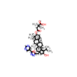 CC(C)C1=C2[C@H]3CC[C@@H]4[C@@]5(C)CC[C@H](OC(=O)CC(C)(C)C(=O)O)C(C)(C)[C@@H]5CC[C@@]4(C)[C@]3(C)CCC2(Cc2nnc(-c3cncnc3)o2)C[C@@H]1O